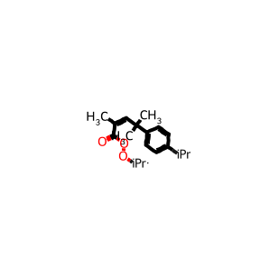 C[C](C)OOC(=O)/C(C)=C\C(C)(C)c1ccc(C(C)C)cc1